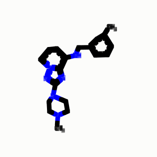 Cc1cccc(CNc2cccn3nc(N4CCN(C)CC4)nc23)c1